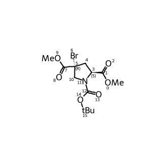 COC(=O)[C@@H]1C[C@](Br)(C(=O)OC)CN1C(=O)OC(C)(C)C